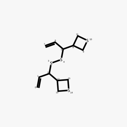 C=CC(SSC(C=C)C1CSC1)C1CSC1